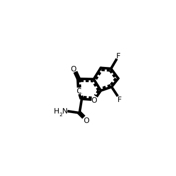 NC(=O)c1cc(=O)c2cc(F)cc(F)c2o1